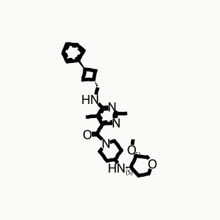 CO[C@@H]1COCC[C@@H]1NC1CCN(C(=O)c2nc(C)nc(NC[C@H]3C[C@H](c4ccccc4)C3)c2C)CC1